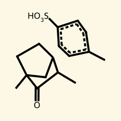 CC1C(=O)C2(C)CCC1C2.Cc1ccc(S(=O)(=O)O)cc1